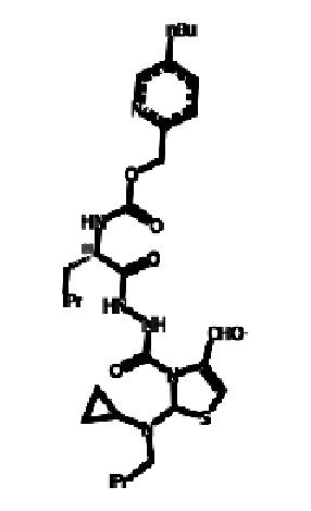 CCCCc1ccc(COC(=O)N[C@@H](CC(C)C)C(=O)NNC(=O)N2C([C]=O)=CSC2N(CC(C)C)C2CC2)nc1